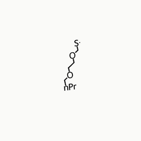 CCCCOCCOC[S]